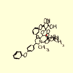 CNC(=O)C1OC(C(=O)O)(C(=O)O)OC1C(=O)N(CC(=O)O)C(C)C(CCc1ccccc1)c1ccc(Oc2ccccc2)cc1